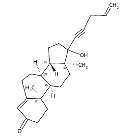 C=CCC#CC1(O)CC[C@H]2[C@@H]3CCC4=CC(=O)CC[C@]4(C)[C@@H]3CC[C@@]21C